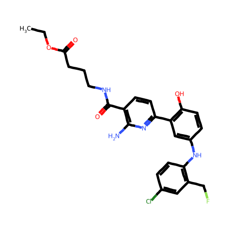 CCOC(=O)CCCNC(=O)c1ccc(-c2cc(Nc3ccc(Cl)cc3CF)ccc2O)nc1N